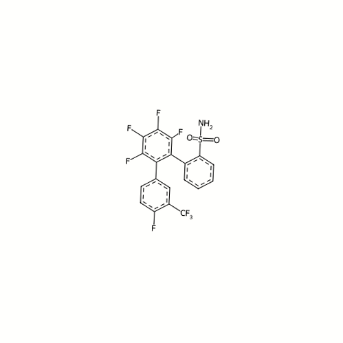 NS(=O)(=O)c1ccccc1-c1c(F)c(F)c(F)c(F)c1-c1ccc(F)c(C(F)(F)F)c1